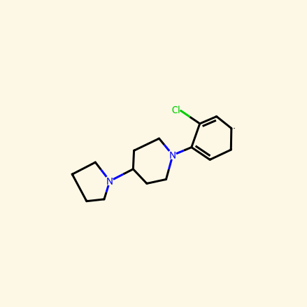 ClC1=C[CH]CC=C1N1CCC(N2CCCC2)CC1